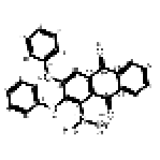 CC(C)N(c1c(Oc2ccccc2)c(Oc2ccccc2)cc2c1C(=O)c1ccccc1C2=O)C(C)C